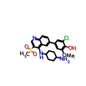 COc1cc(-c2ccc3ncc(S(C)(=O)=O)c(NC4CCC(N)CC4)c3c2)cc(Cl)c1O